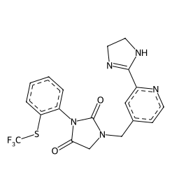 O=C1CN(Cc2ccnc(C3=NCCN3)c2)C(=O)N1c1ccccc1SC(F)(F)F